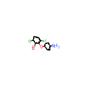 Nc1ccc(Oc2c(Cl)ccc(Cl)c2Br)cc1